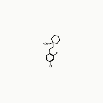 CCCCCCCCC1(CCc2ccc(Cl)cc2F)CCCCC1